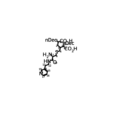 CCCCCCCCCCC(CC(CSC[C@H](N)C(=O)NCCc1cccnc1)[C@@H](CCCCCCCCCC)C(=O)O)C(=O)O